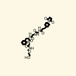 O=C(CCc1ccc(N2C(=O)C=CC2=O)cc1)NCC(=O)NCC(=O)NC(Cc1ccccc1)C(=O)NCC(=O)NCOCCO